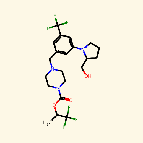 CC(OC(=O)N1CCN(Cc2cc(N3CCCC3CO)cc(C(F)(F)F)c2)CC1)C(F)(F)F